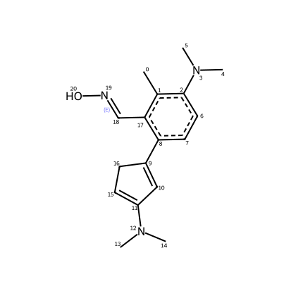 Cc1c(N(C)C)ccc(C2=CC(N(C)C)=CC2)c1/C=N/O